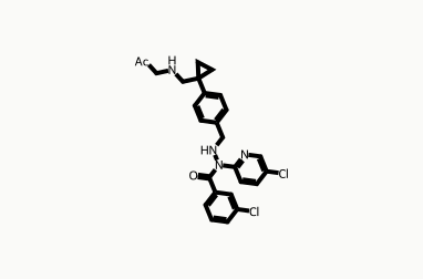 CC(=O)CNCC1(c2ccc(CNN(C(=O)c3cccc(Cl)c3)c3ccc(Cl)cn3)cc2)CC1